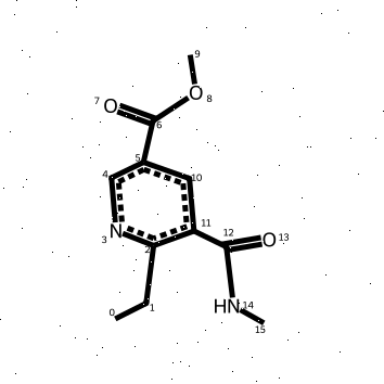 CCc1ncc(C(=O)OC)cc1C(=O)NC